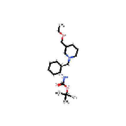 CCOCC1CCCN(C[C@@H]2CCCC[C@H]2NC(=O)OC(C)(C)C)C1